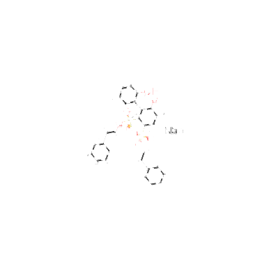 O=S(=O)(OC=Cc1ccccc1)c1ccc(O)c(-c2ccccc2O)c1S(=O)(=O)OC=Cc1ccccc1.[Na].[Na]